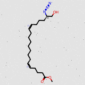 COC(=O)CCC/C=C\CCCCCCC/C=C\CCC[C@H](CO)N=[N+]=[N-]